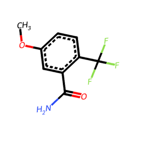 COc1ccc(C(F)(F)F)c(C(N)=O)c1